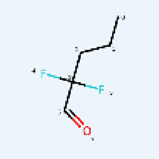 CCCC(F)(F)[C]=O